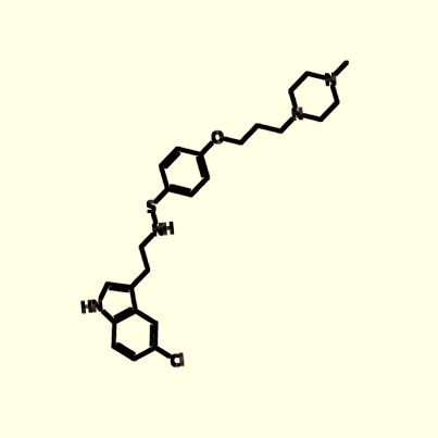 CN1CCN(CCCOc2ccc(SNCCc3c[nH]c4ccc(Cl)cc34)cc2)CC1